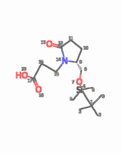 CC(C)(C)[Si](C)(C)OC[C@H]1CCC(=O)N1CCC(=O)O